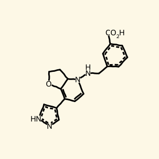 O=C(O)c1cccc(CNN2C=CC(c3cn[nH]c3)=C3OCCC32)c1